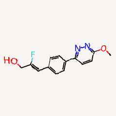 COc1ccc(-c2ccc(/C=C(\F)CO)cc2)nn1